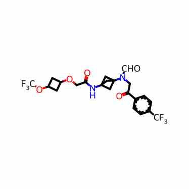 O=CN(CC(=O)c1ccc(C(F)(F)F)cc1)C12CC(NC(=O)COC3CC(OC(F)(F)F)C3)(C1)C2